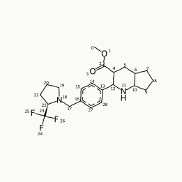 COC(=O)C1CC2CCCC2NC1c1ccc(CN2CCC[C@@H]2C(F)(F)F)cc1